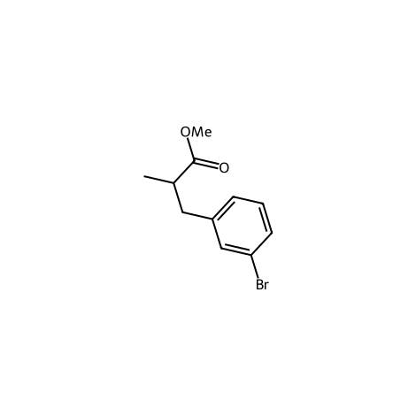 COC(=O)C(C)Cc1cccc(Br)c1